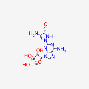 NC1=CN(c2nc(N)c3ncn([C@@H]4O[C@H](CO)[C@@H](O)[C@H]4O)c3n2)NC1=C=O